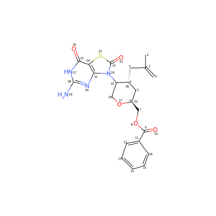 C=C(C)C[C@@H]1C[C@@H](COC(=O)c2ccccc2)OCC1n1c(=O)sc2c(=O)[nH]c(N)nc21